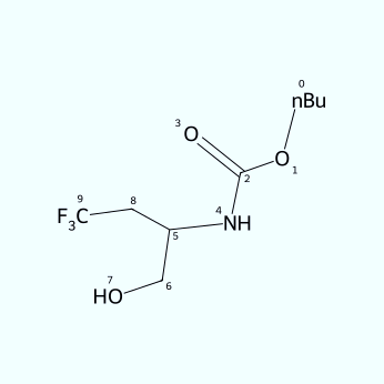 CCCCOC(=O)NC(CO)CC(F)(F)F